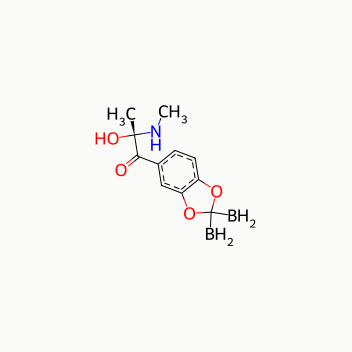 BC1(B)Oc2ccc(C(=O)[C@](C)(O)NC)cc2O1